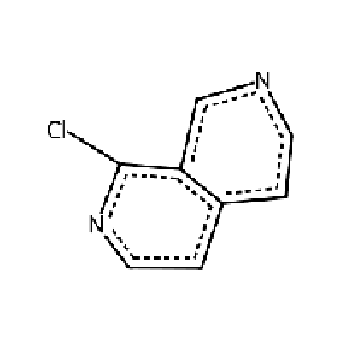 Clc1nccc2ccncc12